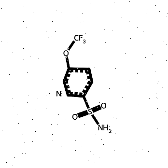 NS(=O)(=O)c1ccc(OC(F)(F)F)cc1.[N]